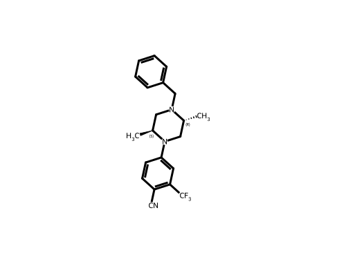 C[C@@H]1CN(c2ccc(C#N)c(C(F)(F)F)c2)[C@@H](C)CN1Cc1ccccc1